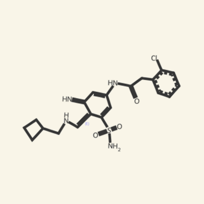 N=C1C=C(NC(=O)Cc2ccccc2Cl)C=C(S(N)(=O)=O)/C1=C/NCC1CCC1